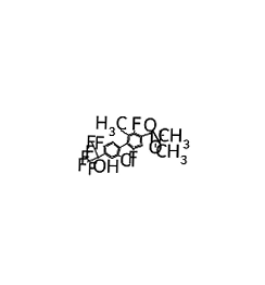 CCc1c(F)c(C(=O)N(C)OC)cc(F)c1-c1ccc(C(O)(C(F)(F)F)C(F)(F)F)cc1Cl